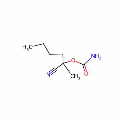 CCCCC(C)(C#N)OC(N)=O